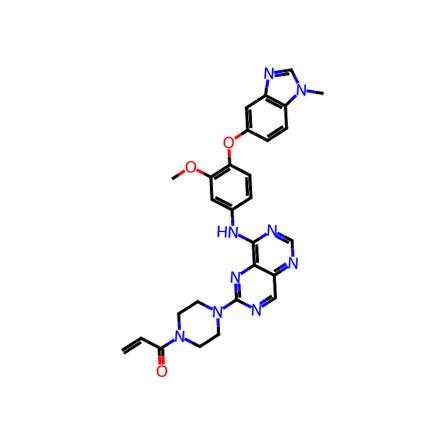 C=CC(=O)N1CCN(c2ncc3ncnc(Nc4ccc(Oc5ccc6c(c5)ncn6C)c(OC)c4)c3n2)CC1